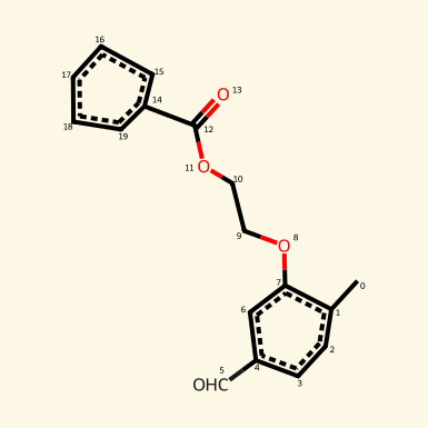 Cc1ccc(C=O)cc1OCCOC(=O)c1ccccc1